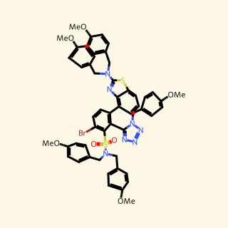 COc1ccc(CN(Cc2ccc(OC)cc2)c2nc3c(-c4ccc(Br)c(S(=O)(=O)N(Cc5ccc(OC)cc5)Cc5ccc(OC)cc5)c4-c4nnnn4Cc4ccc(OC)cc4)cccc3s2)cc1